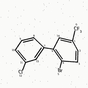 FC(F)(F)c1ccc(Br)c(-c2[c]ccc(Cl)c2)c1